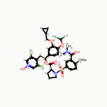 COc1ccc(S(=O)(=O)N2CCC[C@H]2C(=O)O[C@@H](Cc2c(Cl)c[n+]([O-])cc2Cl)c2ccc(OC(F)F)c(OCC3CC3)c2)cc1C(=O)N(C)C